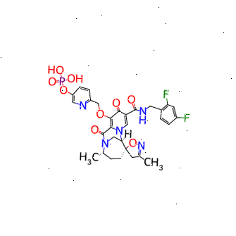 CC1=NO[C@@]2(CC[C@H](C)N3C[C@H]2n2cc(C(=O)NCc4ccc(F)cc4F)c(=O)c(OCc4ccc(OP(=O)(O)O)cn4)c2C3=O)C1